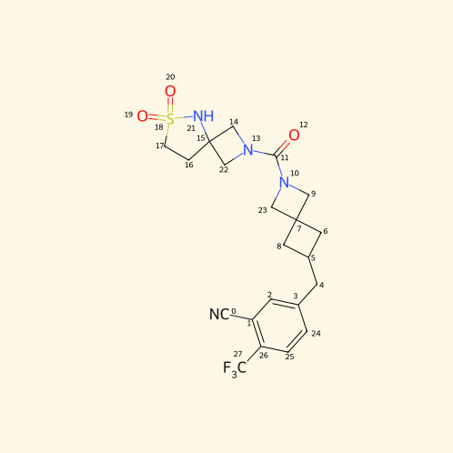 N#Cc1cc(CC2CC3(C2)CN(C(=O)N2CC4(CCS(=O)(=O)N4)C2)C3)ccc1C(F)(F)F